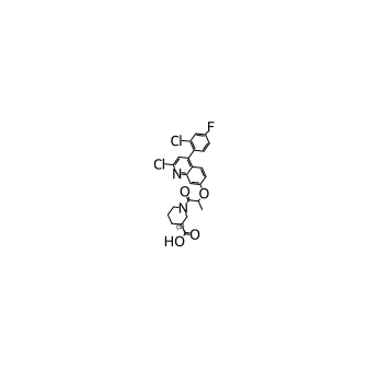 CC(Oc1ccc2c(-c3ccc(F)cc3Cl)cc(Cl)nc2c1)C(=O)N1CCC[C@H](C(=O)O)C1